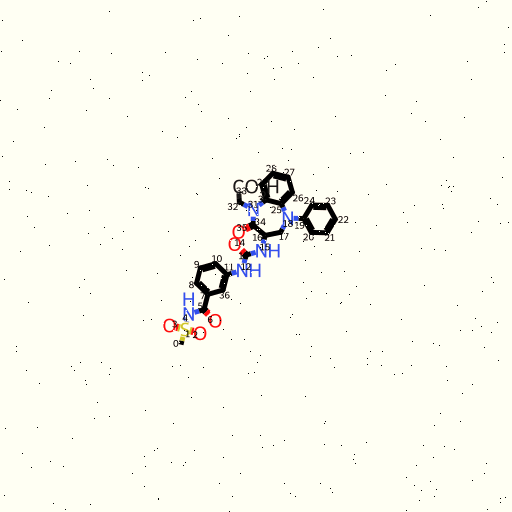 CS(=O)(=O)NC(=O)c1cccc(NC(=O)NC2CN(c3ccccc3)c3ccccc3N(CC(=O)O)C2=O)c1